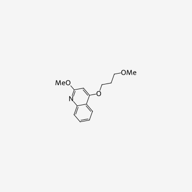 COCCCOc1cc(OC)nc2ccccc12